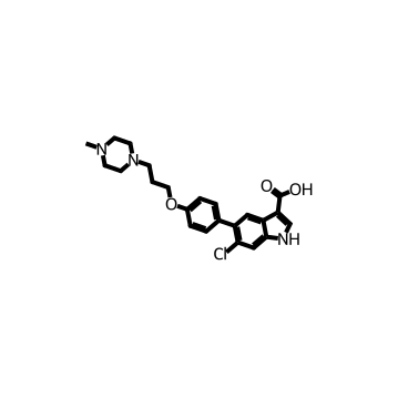 CN1CCN(CCCOc2ccc(-c3cc4c(C(=O)O)c[nH]c4cc3Cl)cc2)CC1